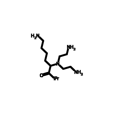 CC(C)C(=O)C(CCCCN)N(CCN)CCN